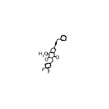 CN1C(=O)C(Cc2ccc(F)c(F)c2)C(=O)C2=C1CC(C#CCc1ccccc1)=C2